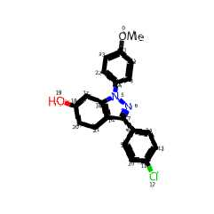 COc1ccc(-n2nc(-c3ccc(Cl)cc3)c3c2CC(O)CC3)cc1